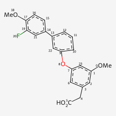 COc1cc(CC(=O)O)cc(Oc2cccc(-c3ccc(OC)c(F)c3)c2)c1